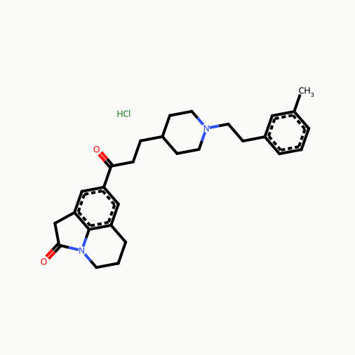 Cc1cccc(CCN2CCC(CCC(=O)c3cc4c5c(c3)CC(=O)N5CCC4)CC2)c1.Cl